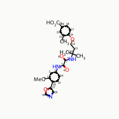 COc1cc(NC(=O)C(=O)NC(C)(C)CCOc2ccc(C(=O)O)cc2C)ccc1-c1cnco1